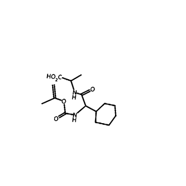 C=C(C)OC(=O)NC(C(=O)NC(C)C(=O)O)C1CCCCC1